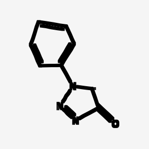 O=C1[CH]N(c2ccccc2)N=N1